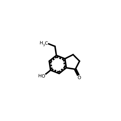 CCc1cc(O)cc2c1CCC2=O